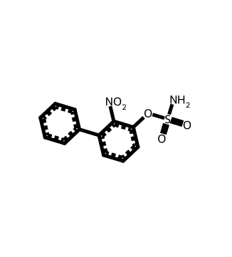 NS(=O)(=O)Oc1cccc(-c2ccccc2)c1[N+](=O)[O-]